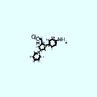 Nc1ccc(N2CC([n+]3ccccc3)CC2CO)cc1.[Cl-]